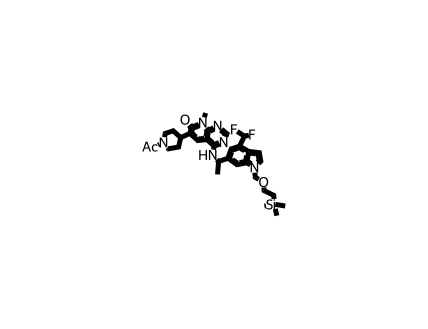 CC(=O)N1CCC(c2cc3c(NC(C)c4cc(C(F)F)c5ccn(COCC[Si](C)(C)C)c5c4)ncnc3n(C)c2=O)CC1